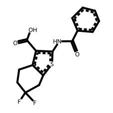 O=C(Nc1sc2c(c1C(=O)O)CCC(F)(F)C2)c1ccccc1